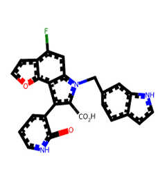 O=C(O)c1c(-c2ccc[nH]c2=O)c2c3occc3c(F)cc2n1Cc1ccc2cc[nH]c2c1